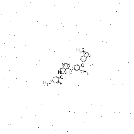 Cc1cc(Nc2ncnc3cnc(O[C@H]4CCN(C)C[C@H]4F)nc23)ccc1Oc1ccc2c(c1)ncn2C